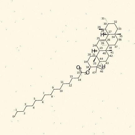 CCCCCCCCCCCCCCCC(=O)O[C@H]1CC[C@]2(C)[C@H]3CC=C4[C@@H]5[C@@H](C)[C@H](C)CC[C@]5(C)CC[C@@]4(C)[C@]3(C)CC[C@H]2C1(C)C